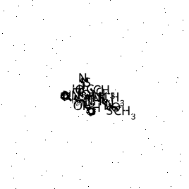 COc1nc(CN(C)C(=O)N[C@H](C(=O)N[C@@H](Cc2ccccc2)C[C@H](O)[C@H](Cc2ccccc2)NC(=O)OCc2cncs2)C(C)C)cs1